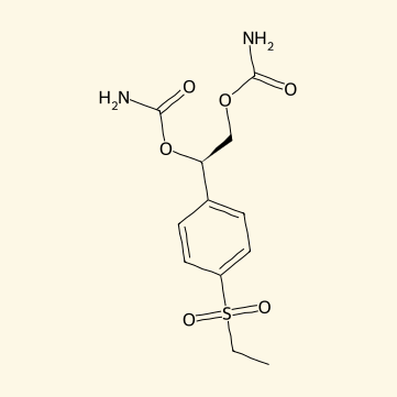 CCS(=O)(=O)c1ccc([C@H](COC(N)=O)OC(N)=O)cc1